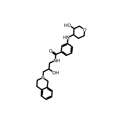 O=C(NCC(O)CN1CCc2ccccc2C1)c1cccc(NC2CCOCC2O)c1